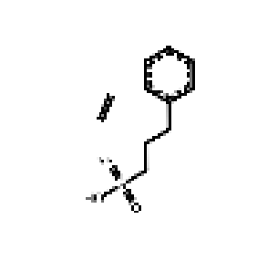 C=C.O=S(O)(=[Se])CCCc1ccccc1